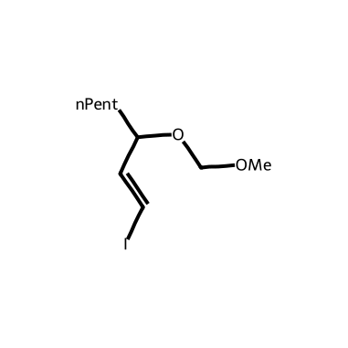 CCCCCC(C=CI)OCOC